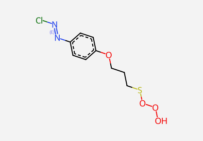 OOOSCCCOc1ccc(/N=N/Cl)cc1